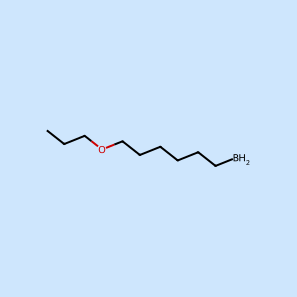 BCCCCCCOCCC